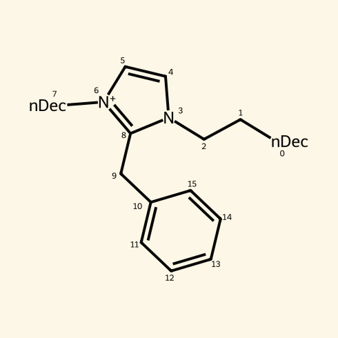 CCCCCCCCCCCCn1cc[n+](CCCCCCCCCC)c1Cc1ccccc1